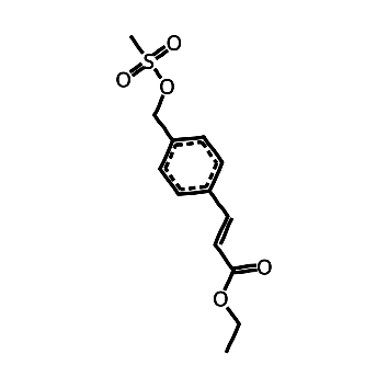 CCOC(=O)C=Cc1ccc(COS(C)(=O)=O)cc1